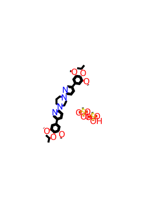 COc1cc(-c2ccc(N3CCCN(c4ccc(-c5cc(OC)c(OC(C)C)c(OC)c5)cn4)CC3)nc2)cc(OC)c1OC(C)C.CS(=O)(=O)O.CS(=O)(=O)O